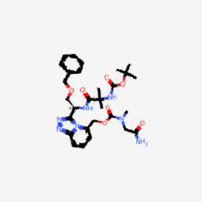 CN(CC(N)=O)C(=O)OCc1cccc2nnc([C@@H](COCc3ccccc3)NC(=O)C(C)(C)NC(=O)OC(C)(C)C)n12